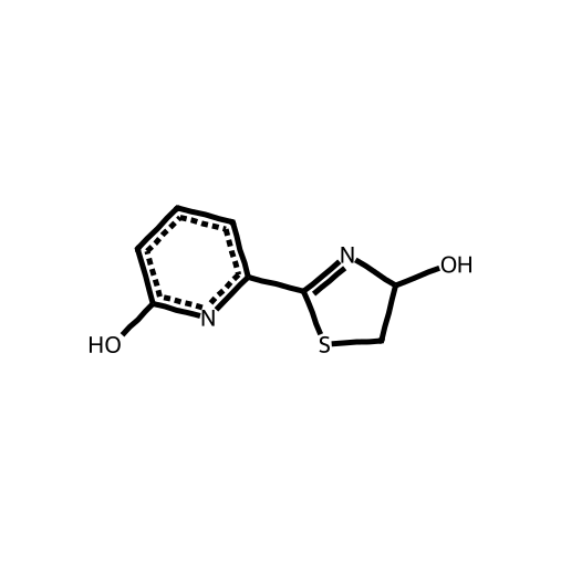 Oc1cccc(C2=NC(O)CS2)n1